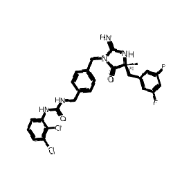 C[C@]1(Cc2cc(F)cc(F)c2)NC(=N)N(Cc2ccc(CNC(=O)Nc3cccc(Cl)c3Cl)cc2)C1=O